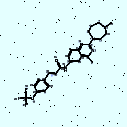 Cc1nc(N2CCCN(C)CC2)nc2ccc(NC(=O)/C=C/c3ccc(OC(F)(F)F)cc3)cc12